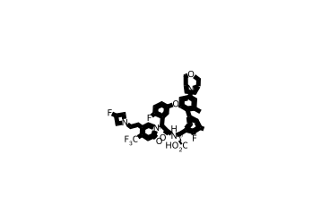 Cc1cc2cc(c1F)[C@H](CC(=O)O)NC(=O)[C@H](n1cc(CCN3CC(F)C3)c(C(F)(F)F)cc1=O)c1cc(ccc1F)Oc1cc(N3C4CCC3COC4)cc(C)c1-2